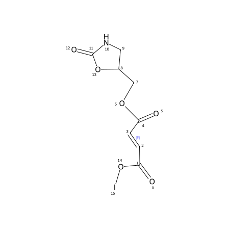 O=C(/C=C/C(=O)OCC1CNC(=O)O1)OI